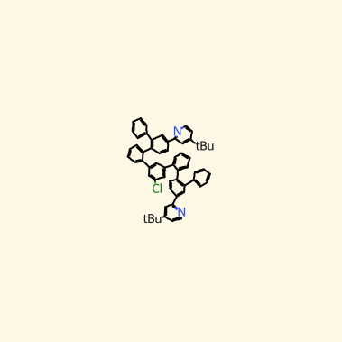 CC(C)(C)c1ccnc(-c2ccc(-c3ccccc3-c3cc(Cl)cc(-c4ccccc4-c4ccc(-c5cc(C(C)(C)C)ccn5)cc4-c4ccccc4)c3)c(-c3ccccc3)c2)c1